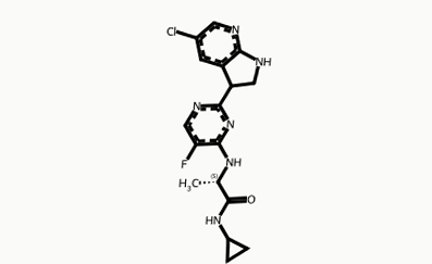 C[C@H](Nc1nc(C2CNc3ncc(Cl)cc32)ncc1F)C(=O)NC1CC1